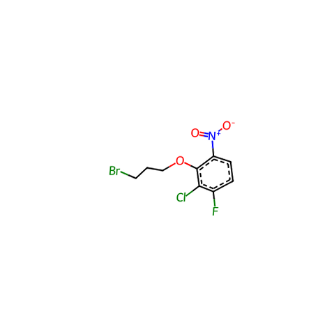 O=[N+]([O-])c1ccc(F)c(Cl)c1OCCCBr